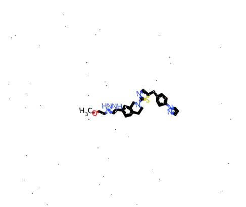 COCCN1C=C(c2ccc3c(c2)CN(c2ncc(Cc4ccc(-n5cccn5)cc4)s2)CC3)NN1